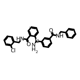 NN(c1cccc(C(=O)NCc2ccccc2)c1)c1cc[c]cc1C(=O)NCc1ccccc1Cl